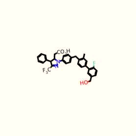 Cc1cc(-c2cc(CO)ccc2F)ccc1Cc1ccc(N2N=C(C(F)(F)F)C(c3ccccc3)C2CC(=O)O)cc1